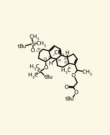 CC(OCC(=O)OC(C)(C)C)C1=CC[C@H]2C3=CC=C4C[C@@H](O[Si](C)(C)C(C)(C)C)C[C@H](O[Si](C)(C)C(C)(C)C)[C@]4(C)[C@H]3CC[C@]12C